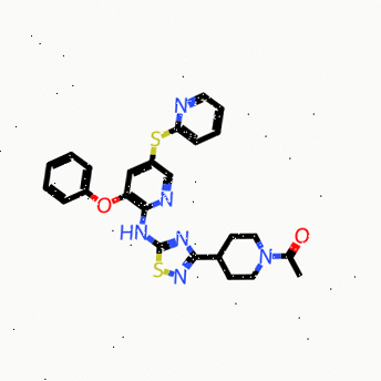 CC(=O)N1CCC(c2nsc(Nc3ncc(Sc4ccccn4)cc3Oc3ccccc3)n2)CC1